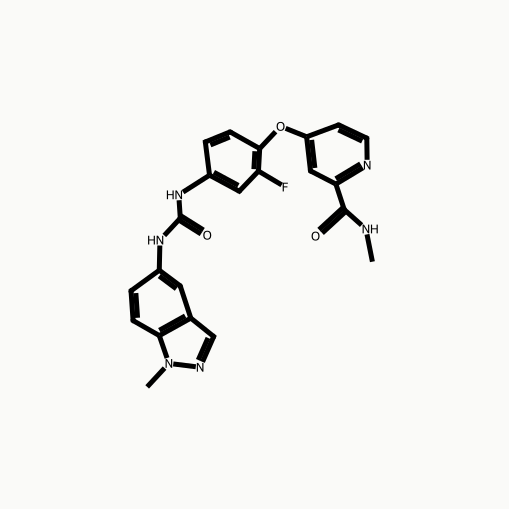 CNC(=O)c1cc(Oc2ccc(NC(=O)Nc3ccc4c(cnn4C)c3)cc2F)ccn1